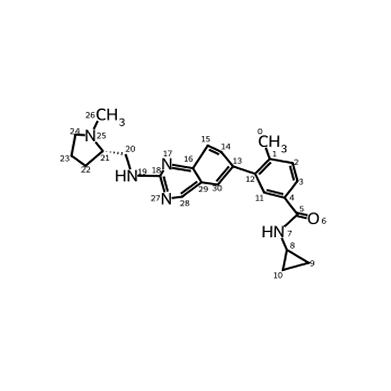 Cc1ccc(C(=O)NC2CC2)cc1-c1ccc2nc(NC[C@@H]3CCCN3C)ncc2c1